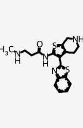 CNCCC(=O)Nc1sc2c(c1-c1nc3ccccc3s1)CCNC2